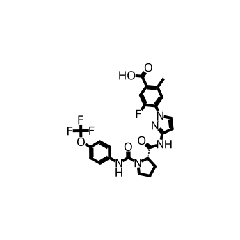 Cc1cc(-n2ccc(NC(=O)[C@@H]3CCCN3C(=O)Nc3ccc(OC(F)(F)F)cc3)n2)c(F)cc1C(=O)O